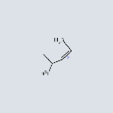 B/C=C\C(C)CCC